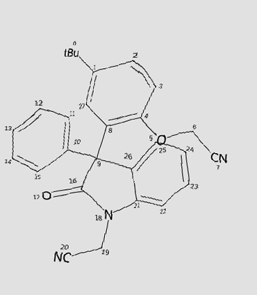 CC(C)(C)c1ccc(OCC#N)c(C2(c3ccccc3)C(=O)N(CC#N)c3ccccc32)c1